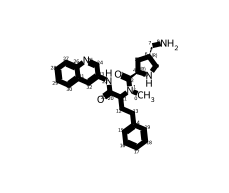 CN(C(=O)[C@H]1C[C@H](CN)CN1)C(CCc1ccccc1)C(=O)Nc1cnc2ccccc2c1